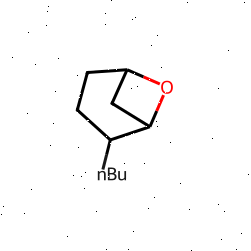 CCCCC1CCC2CC1O2